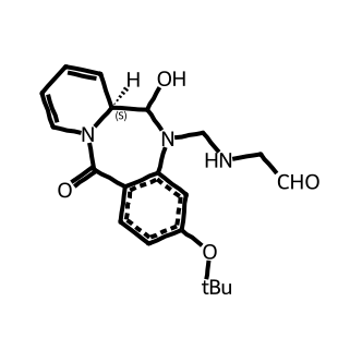 CC(C)(C)Oc1ccc2c(c1)N(CNCC=O)C(O)[C@@H]1C=CC=CN1C2=O